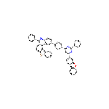 c1ccc(-c2nc(-c3ccc(-c4ccc5nc(-c6ccccc6)c6ccc7sc8ccccc8c7c6c5c4)cc3)cc(-c3ccc4c(c3)oc3ccccc34)n2)cc1